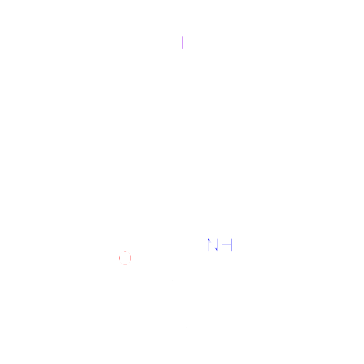 [CH2]C(=O)Nc1ccc(I)cc1